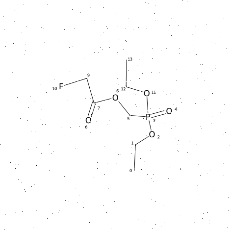 CCOP(=O)(COC(=O)CF)OCC